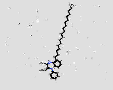 CCCCCCCCCCCCCCCCCCCCCCCCC=CCCc1ccccc1N=C(CCCC)C(CCCCCC)=Nc1ccccc1.[Ni]